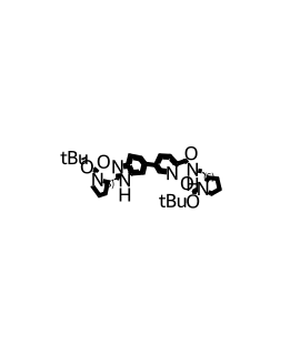 CC(C)(C)OC(=O)N1CCC[C@H]1CNC(=O)c1ccc(-c2ccc3nc([C@@H]4CCCN4C(=O)OC(C)(C)C)[nH]c3c2)cn1